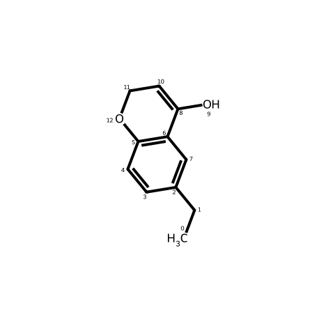 CCc1ccc2c(c1)C(O)=CCO2